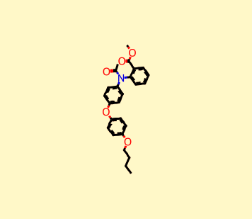 CCCCOc1ccc(Oc2ccc(N(C(C)=O)c3ccccc3C(=O)OC)cc2)cc1